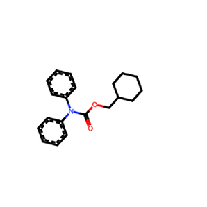 O=C(OCC1CCCCC1)N(c1ccccc1)c1ccccc1